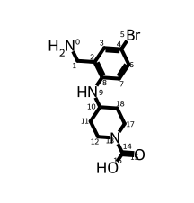 NCc1cc(Br)ccc1NC1CCN(C(=O)O)CC1